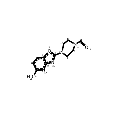 Cc1ccc2oc(N3CCN(C=O)CC3)nc2n1